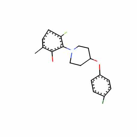 O=Cc1ccc(F)c(N2CCC(Oc3ccc(Cl)cc3)CC2)c1O